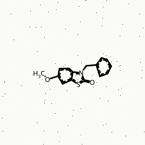 COc1ccc2c(c1)sc(=O)n2Cc1ccccc1